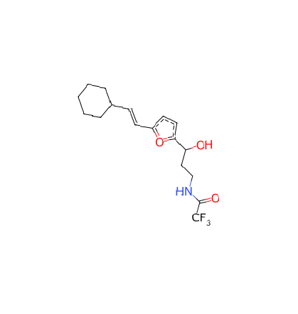 O=C(NCCC(O)c1ccc(C=CC2CCCCC2)o1)C(F)(F)F